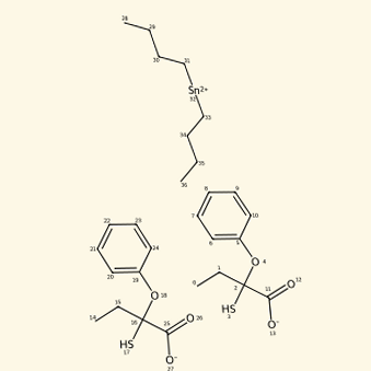 CCC(S)(Oc1ccccc1)C(=O)[O-].CCC(S)(Oc1ccccc1)C(=O)[O-].CCC[CH2][Sn+2][CH2]CCC